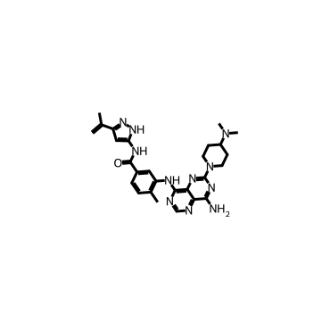 C=C(C)c1cc(NC(=O)c2ccc(C)c(Nc3ncnc4c(N)nc(N5CCC(N(C)C)CC5)nc34)c2)[nH]n1